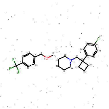 FC(F)(F)c1ccc(COC[C@H]2CCCN(CC3(c4ccc(Cl)cc4)CCC3)C2)cc1